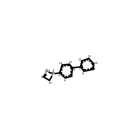 C1=PP(c2ccc(-c3ccccc3)cc2)C1